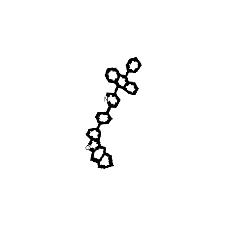 C1=CC2=Cc3oc4ccc(-c5ccc(-c6ccc(-c7c8ccccc8c(-c8ccccc8)c8ccccc78)cn6)cc5)cc4c3CC2C=C1